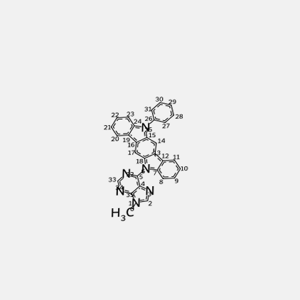 Cn1cnc2c(-n3c4ccccc4c4cc5c(cc43)c3ccccc3n5-c3ccccc3)ncnc21